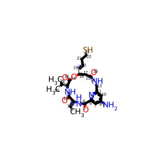 C/C=C1\NC(=O)c2cc(N)cc(n2)CNC(=O)C[C@@H](/C=C/CCS)OC(=O)[C@H](C(C)C)NC1=O